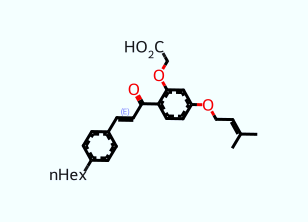 CCCCCCc1ccc(/C=C/C(=O)c2ccc(OCC=C(C)C)cc2OCC(=O)O)cc1